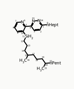 CCCCCCCc1ccc(-c2ncccc2[SiH2]CCCC(C)CCCC(C)CCCCC)nn1